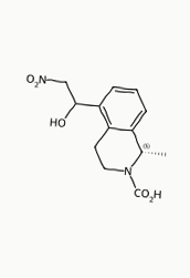 C[C@H]1c2cccc(C(O)C[N+](=O)[O-])c2CCN1C(=O)O